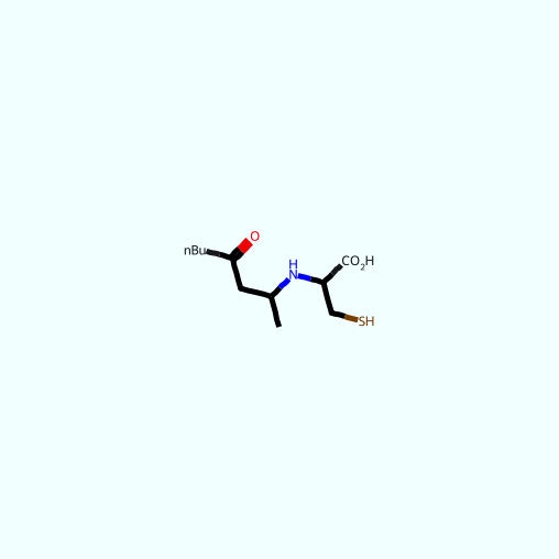 CCCCC(=O)CC(C)NC(CS)C(=O)O